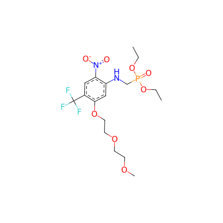 CCOP(=O)(CNc1cc(OCCOCCOC)c(C(F)(F)F)cc1[N+](=O)[O-])OCC